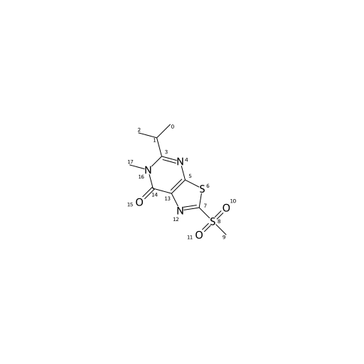 CC(C)c1nc2sc(S(C)(=O)=O)nc2c(=O)n1C